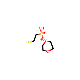 C1COCCO1.O=P(O)(O)CCS